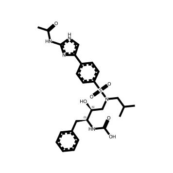 CC(=O)Nc1nc(-c2ccc(S(=O)(=O)N(CC(C)C)C[C@H](O)[C@H](Cc3ccccc3)NC(=O)O)cc2)c[nH]1